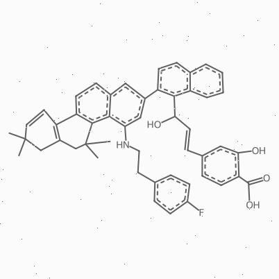 CC1(C)C=CC2=C(C1)CC(C)(C)c1c2ccc2cc(-c3ccc4ccccc4c3C(O)C=Cc3ccc(C(=O)O)c(O)c3)cc(NCCc3ccc(F)cc3)c12